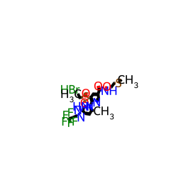 Br.CCS(=O)(=O)c1cc(C(=O)NOCCSC)cnc1N1NC2=NC(C(F)(F)C(F)(F)F)=NC2=CC1C